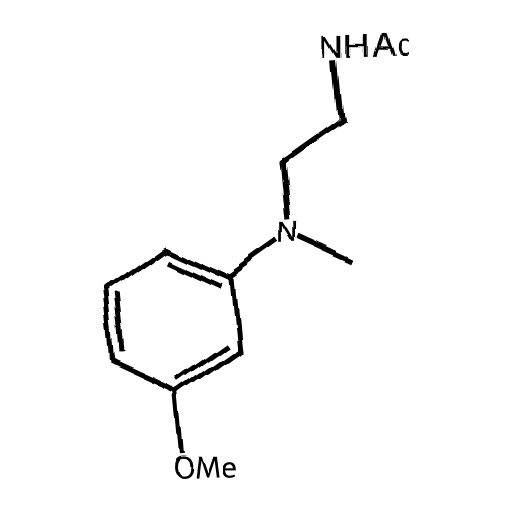 COc1cccc(N(C)CCNC(C)=O)c1